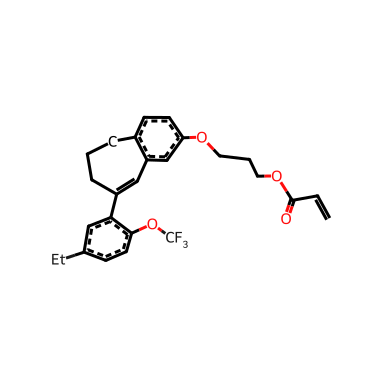 C=CC(=O)OCCCOc1ccc2c(c1)C=C(c1cc(CC)ccc1OC(F)(F)F)CCC2